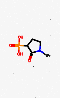 CC(C)N1CCC(P(=O)(O)O)C1=O